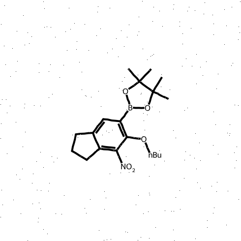 CCCCOc1c(B2OC(C)(C)C(C)(C)O2)cc2c(c1[N+](=O)[O-])CCC2